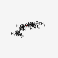 CCOC(=O)CCNC(=O)c1nc(NC(=O)c2cc(NC(=O)CCNC(=O)c3nc(NC(=O)CCCNC(=O)OC(C)(C)C)cn3C)cn2C)cn1C